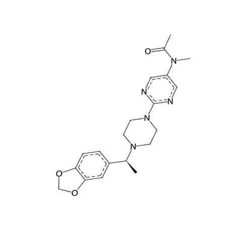 CC(=O)N(C)c1cnc(N2CCN([C@@H](C)c3ccc4c(c3)OCO4)CC2)nc1